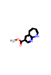 COC(=O)c1cnc2c(c1)C=CC=CN2